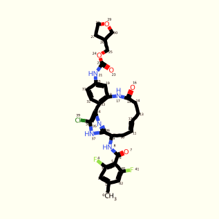 Cc1cc(F)c(C(=O)NC2C/C=C/CCC(=O)Nc3cc(NC(=O)OCC4CCOC4)ccc3-c3nc2[nH]c3Cl)c(F)c1